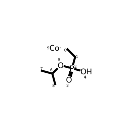 CCP(=O)(O)OC(C)C.[Co]